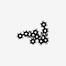 c1ccc(-c2ccc3nc(-c4ccccc4)c(-n4c5ccccc5c5c6c7ccccc7n(-c7nc8cc(-c9ccccc9)ccc8nc7-c7ccccc7)c6ccc54)nc3c2)cc1